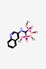 CCOP(=O)(OCC)C(Nc1cnc2ccccc2c1)P(=O)(OCC)OCC